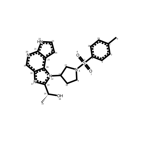 Cc1ccc(S(=O)(=O)N2CCC(n3c([C@@H](C)O)nc4cnc5[nH]ccc5c43)C2)cc1